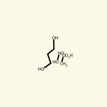 CC(=O)O.O=[N+]([O-])O.OCCCO